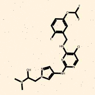 CN(C)C(O)Cn1cc(Nc2ncc(Cl)c(NCc3cc(OC(F)F)ccc3F)n2)cn1